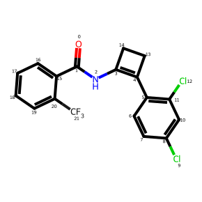 O=C(NC1=C(c2ccc(Cl)cc2Cl)CC1)c1ccccc1C(F)(F)F